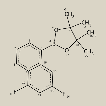 CC1(C)OB(c2cccc3c(F)cc(F)cc23)OC1(C)C